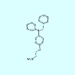 CNCCOc1ccc(N(Cc2ccccc2)c2ccccc2)cc1